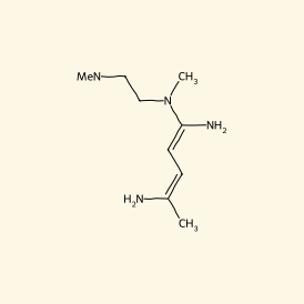 CNCCN(C)/C(N)=C/C=C(/C)N